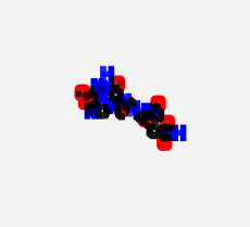 C=CC(=O)Nc1cc(Nc2ncc(C(=O)OC)c(-c3cn(C)c4ccccc34)n2)c(OC)cc1N1CCN(CCC#Cc2ccc3c(c2C2CCC(=O)NC2=O)C(=O)NC3=O)CC1